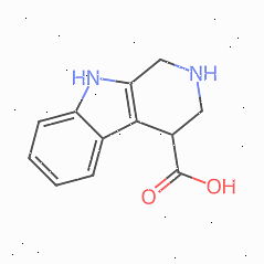 O=C(O)C1CNCc2[nH]c3ccccc3c21